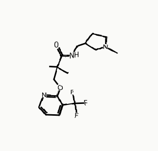 CN1CCC(CNC(=O)C(C)(C)COc2ncccc2C(F)(F)F)C1